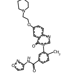 Cc1ccc(C(=O)Nc2ccon2)cc1-n1cnc2ccc(OCCN3CCCCC3)cc2c1=O